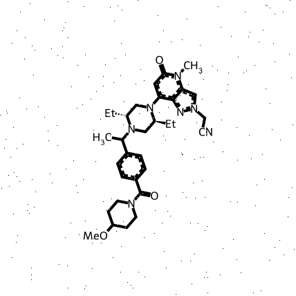 CC[C@H]1CN(C(C)c2ccc(C(=O)N3CCC(OC)CC3)cc2)[C@H](CC)CN1c1cc(=O)n(C)c2cn(CC#N)nc12